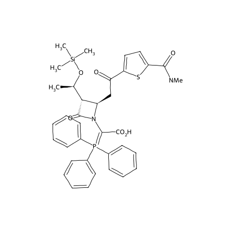 CNC(=O)c1ccc(C(=O)C[C@@H]2[C@@H]([C@@H](C)O[Si](C)(C)C)C(=O)N2C(C(=O)O)=P(c2ccccc2)(c2ccccc2)c2ccccc2)s1